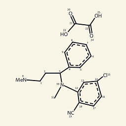 CNCCC(c1ccccc1)N(C)c1cc(Cl)ccc1C#N.O=C(O)C(=O)O